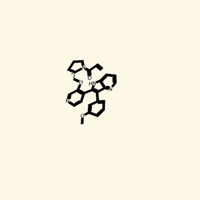 C=CC(=O)N1CCC[C@H]1COc1cnccc1-c1[nH]c2cccnc2c1-c1cccc(OC)c1